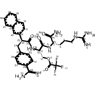 N=C(N)NCCC[C@H](NC(=O)[C@H](COC(=O)C(F)(F)F)NC(=O)[C@@H](Cc1ccc(C(=N)N)cc1)c1ccc2ccccc2c1)C(N)=O